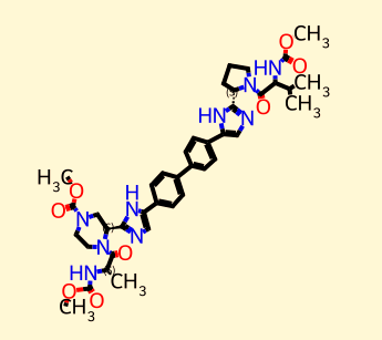 COC(=O)NC(C(=O)N1CCC[C@H]1c1ncc(-c2ccc(-c3ccc(-c4cnc([C@@H]5CN(C(=O)OC)CCN5C(=O)[C@H](C)NC(=O)OC)[nH]4)cc3)cc2)[nH]1)C(C)C